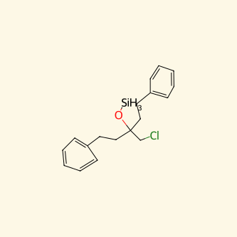 [SiH3]OC(CCl)(CCc1ccccc1)CCc1ccccc1